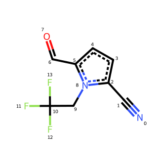 N#Cc1ccc(C=O)n1CC(F)(F)F